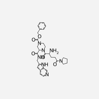 NC(CCC(=O)N1CCCC1)C(=O)N1CCN(C(=O)OCc2ccccc2)CC1C(=O)NCc1cc2ccncc2[nH]1